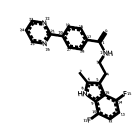 C=C(NCCc1c(C)[nH]c2c(F)ccc(F)c12)c1ccc(-c2ncccn2)cc1